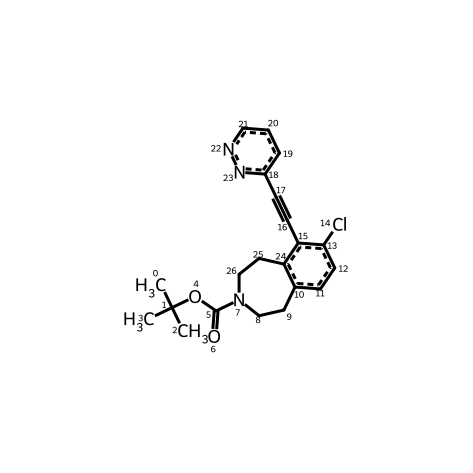 CC(C)(C)OC(=O)N1CCc2ccc(Cl)c(C#Cc3cccnn3)c2CC1